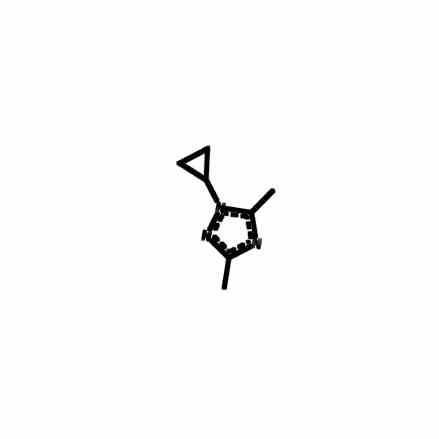 Cc1nc(C)n(C2CC2)n1